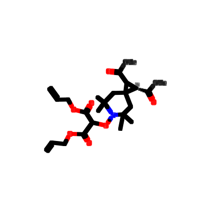 C=CCOC(=O)C(ON1C(C)(C)CC2(CC1(C)C)C(C(=O)OC)[C@@H]2C(=O)OC)C(=O)OCC=C